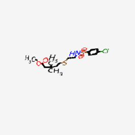 CCOC(=O)CC(C)(C)CCSCCNS(=O)(=O)c1ccc(Cl)cc1